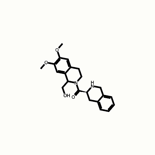 COc1cc2c(cc1OC)C(CO)N(C(=O)[C@@H]1Cc3ccccc3CN1)CC2